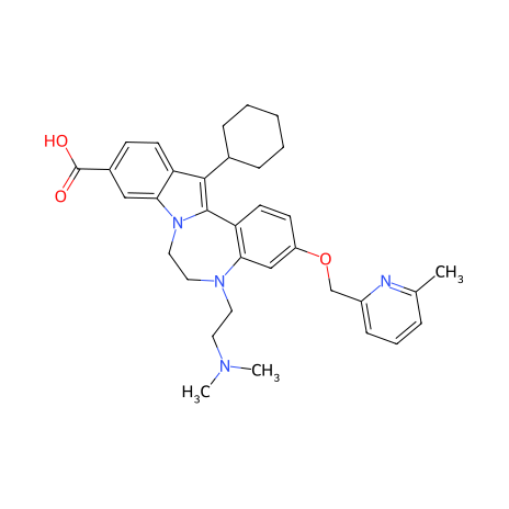 Cc1cccc(COc2ccc3c(c2)N(CCN(C)C)CCn2c-3c(C3CCCCC3)c3ccc(C(=O)O)cc32)n1